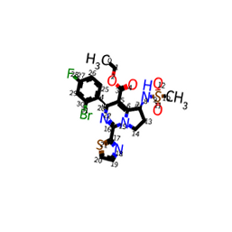 CCOC(=O)C1=C2[C@@H](NS(C)(=O)=O)CCN2C(c2nccs2)=N[C@H]1c1ccc(F)cc1Br